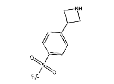 O=S(=O)(c1ccc(C2CNC2)cc1)C(F)(F)F